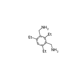 CCc1cc(CC)c(CN)c(CC)c1CN